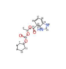 CC(OC(=O)OC1CCCCC1)OC(=O)c1cccc2nc[nH]c12